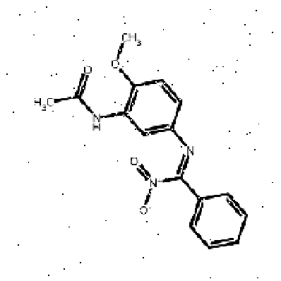 COc1ccc(N=C(c2ccccc2)[N+](=O)[O-])cc1NC(C)=O